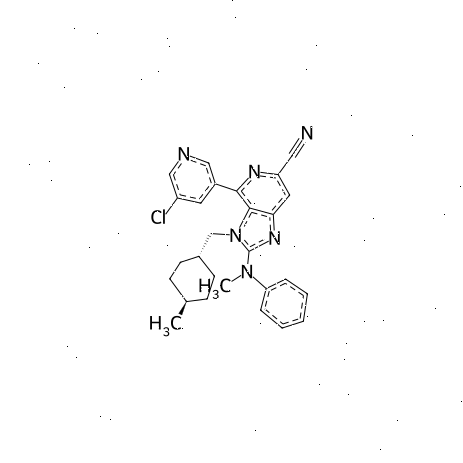 CN(c1ccccc1)c1nc2cc(C#N)nc(-c3cncc(Cl)c3)c2n1C[C@H]1CC[C@H](C)CC1